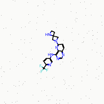 FC(F)(F)c1ccc(Nc2ncnc3ccc(N4CC5(CCN5)C4)nc23)cn1